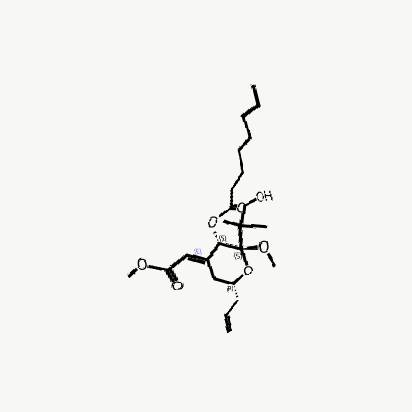 C=CC[C@@H]1C/C(=C\C(=O)OC)[C@H](OC(=O)CCCCCCC)[C@](OC)(C(C)(C)CO)O1